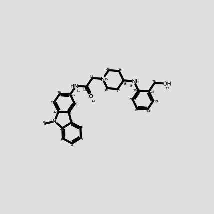 Cn1c2ccccc2c2cc(NC(=O)CN3CCC(Nc4ccccc4CO)CC3)ccc21